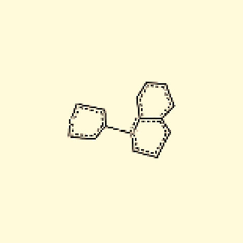 c1ccc(-[n+]2cccc3ccccc32)cc1